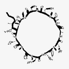 C/C=C/C[C@@H](C)[C@@H](O)C1C(=O)N[C@@H](CC)C(=O)N(C)CC(=O)N(C)[C@@H](CC(C)C)C(=O)N[C@@H](C(C)C)C(=O)N(C)[C@@H](CC(C)C)C(=O)N[C@@H](C)C(=O)N[C@H](C)C(=O)N(C)[C@@H](CC(C)C)C(=O)N(C)[C@@H](CC(C)C)C(=O)N(C)[C@@H](C(C)C)C(=O)N1C